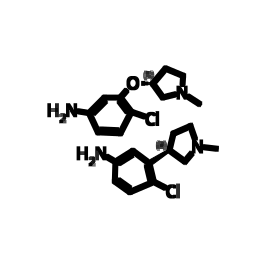 CN1CC[C@@H](Oc2cc(N)ccc2Cl)C1.CN1CC[C@H](c2cc(N)ccc2Cl)C1